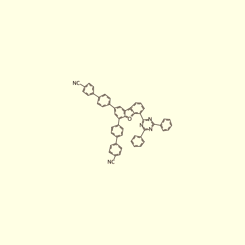 N#Cc1ccc(-c2ccc(-c3cc(-c4ccc(-c5ccc(C#N)cc5)cc4)c4oc5c(-c6nc(-c7ccccc7)nc(-c7ccccc7)n6)cccc5c4c3)cc2)cc1